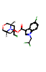 O=C(OC1C[C@H]2COC[C@@H](C1)N2CCF)c1cn(CC(F)F)c2ccc(F)cc12